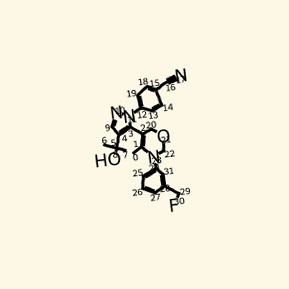 CC1=C(c2c(C(C)(C)O)cnn2-c2ccc(C#N)cc2)COCN1c1cccc(CF)c1